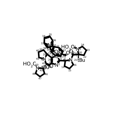 CC(C)(C)c1nc([C@]2(C(=O)n3c4ccc3cc4)CCCN2C(=O)[C@@]2(C(C)(C)C)CCCN2C(=O)O)oc1[C@]1(C(=O)n2c3ccc2cc3)CCCN1C(=O)[C@@H]1CCCN1C(=O)O